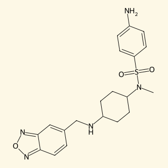 CN(C1CCC(NCc2ccc3nonc3c2)CC1)S(=O)(=O)c1ccc(N)cc1